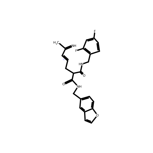 CC(=N)/C=C/CC(C(=O)NCc1ccc2occc2c1)C(=O)NCc1ccc(F)cc1F